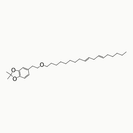 CCCCCC=CCC=CCCCCCCCCOCCc1ccc2c(c1)OC(C)(C)O2